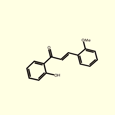 COc1ccccc1C=CC(=O)c1ccccc1O